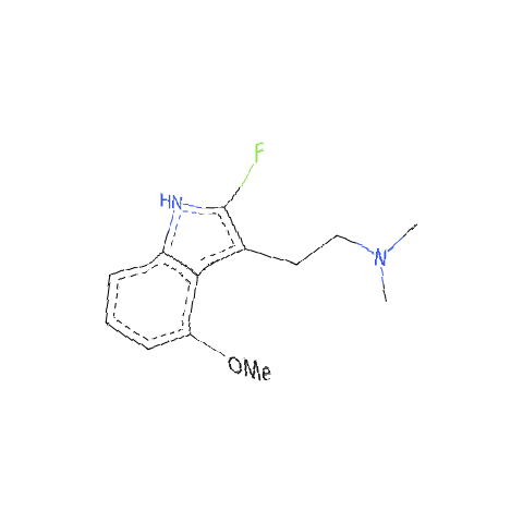 COc1cccc2[nH]c(F)c(CCN(C)C)c12